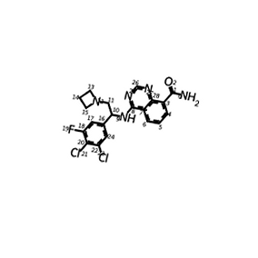 NC(=O)c1cccc2c(NC(CN3CCC3)c3cc(F)c(Cl)c(Cl)c3)ncnc12